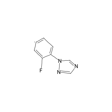 Fc1c[c]ccc1-n1cncn1